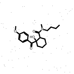 CCCCN(C)C(=O)C1CCCCC1(O)C(=O)c1ccc(OC)cc1